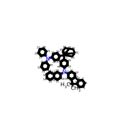 CC1(C)c2ccccc2-c2ccc(N(c3ccc(C4(c5ccc(N(c6ccccc6)c6ccccc6)cc5)C5CC6CC(C5)CC4C6)cc3)c3ccc4ccccc4c3)cc21